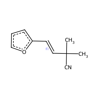 CC(C)(C#N)/C=C/c1ccco1